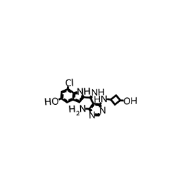 N=C(c1cc2cc(O)cc(Cl)c2[nH]1)c1c(N)ncnc1NC1CC(O)C1